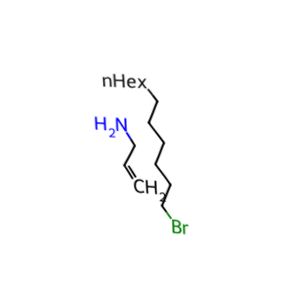 C=CCN.CCCCCCCCCCCCBr